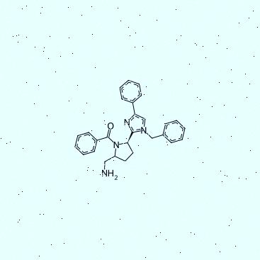 NCC1CC[C@H](c2nc(-c3ccccc3)cn2Cc2ccccc2)N1C(=O)c1ccccc1